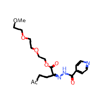 COCCOCCOCCOC(=O)/C(CCC(C)=O)=N\NC(=O)c1ccncc1